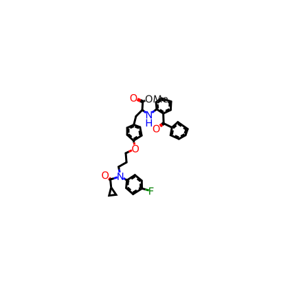 COC(=O)C(Cc1ccc(OCCCN(C(=O)C2CC2)c2ccc(F)cc2)cc1)Nc1ccccc1C(=O)c1ccccc1